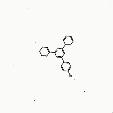 Brc1ccc(-c2cc(-c3ccccc3)nc(C3=CCCC=C3)n2)cc1